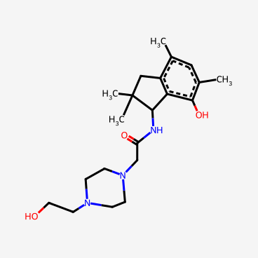 Cc1cc(C)c2c(c1O)C(NC(=O)CN1CCN(CCO)CC1)C(C)(C)C2